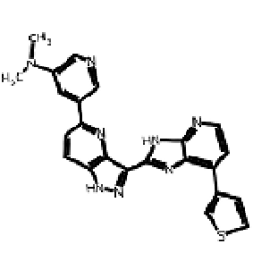 CN(C)c1cncc(-c2ccc3[nH]nc(-c4nc5c(-c6ccsc6)ccnc5[nH]4)c3n2)c1